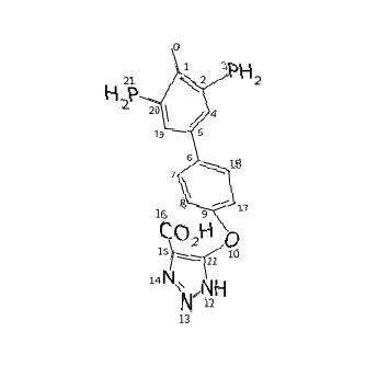 Cc1c(P)cc(-c2ccc(Oc3[nH]nnc3C(=O)O)cc2)cc1P